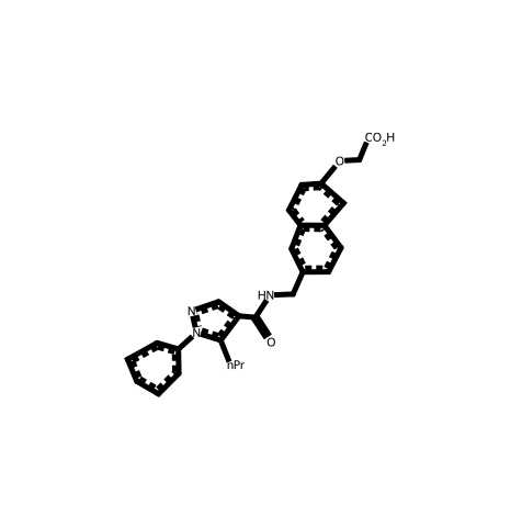 CCCc1c(C(=O)NCc2ccc3cc(OCC(=O)O)ccc3c2)cnn1-c1ccccc1